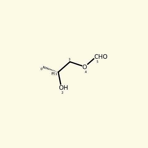 C[C@@H](O)COC=O